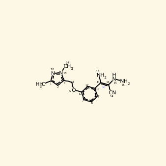 Cc1cc(COc2cccc(/C(N)=C(\C#N)NN)c2)n(C)n1